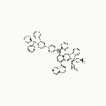 CC1(C)c2ccccc2-c2c(-c3ccccc3N(c3ccc(-c4ccc5c(c4)-c4ccccc4C5(c4ccccc4)c4ccccc4)cc3)c3ccc(-c4cccc5ccccc45)cc3)cccc21